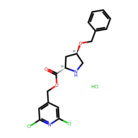 Cl.O=C(OCc1cc(Cl)nc(Cl)c1)[C@@H]1C[C@@H](OCc2ccccc2)CN1